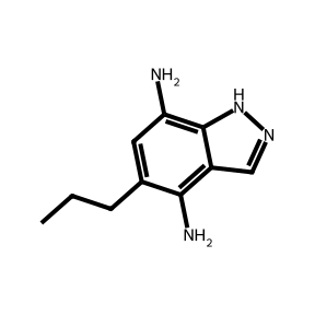 CCCc1cc(N)c2[nH]ncc2c1N